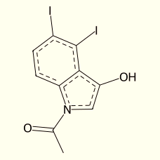 CC(=O)n1cc(O)c2c(I)c(I)ccc21